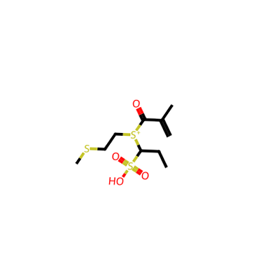 C=C(C)C(=O)[S+](CCSC)C(CC)S(=O)(=O)O